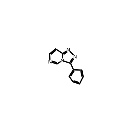 c1ccc(-c2nnc3ccncn23)cc1